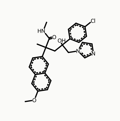 CNC(=O)C(C)(CC(O)(Cn1ccnc1)c1ccc(Cl)cc1)c1ccc2cc(OC)ccc2c1